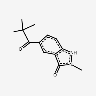 Cn1[nH]c2ccc(C(=O)C(C)(C)C)cc2c1=O